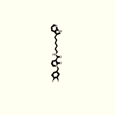 O=C(NCCCCCCc1c[nH]c2ncccc12)c1cccn(Cc2ccc(F)c(F)c2)c1=O